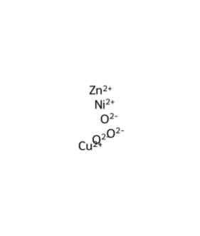 [Cu+2].[Ni+2].[O-2].[O-2].[O-2].[Zn+2]